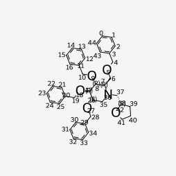 c1ccc(COC[C@@H]2[C@@H](OCc3ccccc3)[C@H](OCc3ccccc3)[C@@H](OCc3ccccc3)CN2C[C@@H]2CCCO2)cc1